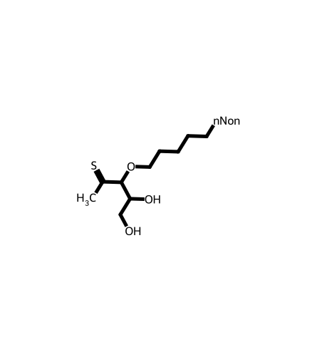 CCCCCCCCCCCCCCOC(C(C)=S)C(O)CO